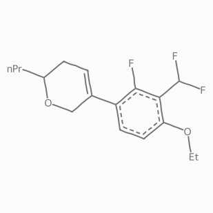 CCCC1CC=C(c2ccc(OCC)c(C(F)F)c2F)CO1